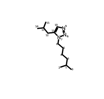 CC(C)CCCCn1nncc1CC(C)C